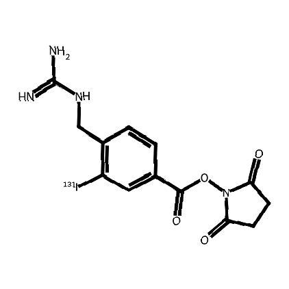 N=C(N)NCc1ccc(C(=O)ON2C(=O)CCC2=O)cc1[131I]